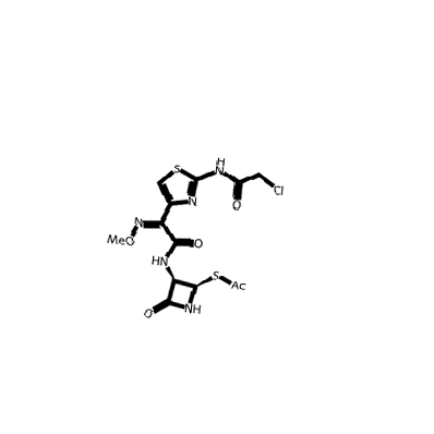 CO/N=C(\C(=O)N[C@@H]1C(=O)N[C@@H]1SC(C)=O)c1csc(NC(=O)CCl)n1